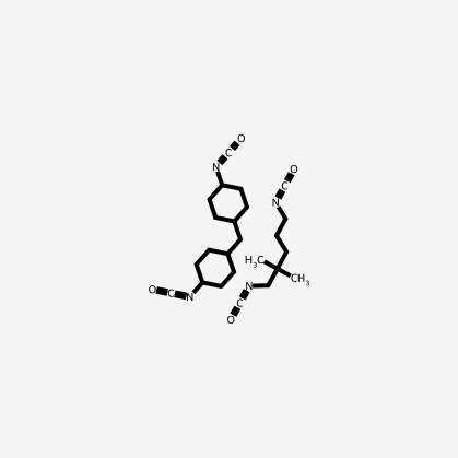 CC(C)(CCCN=C=O)CN=C=O.O=C=NC1CCC(CC2CCC(N=C=O)CC2)CC1